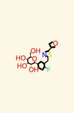 OC[C@H]1O[C@@H](c2ccc(F)c(Cc3ncc(-c4ccoc4)s3)c2)[C@H](O)[C@@H](O)[C@@H]1O